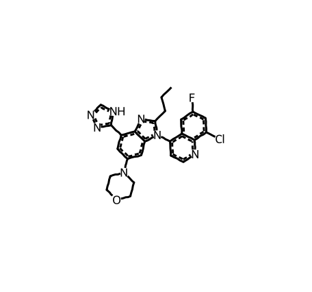 CCCc1nc2c(-c3nnc[nH]3)cc(N3CCOCC3)cc2n1-c1ccnc2c(Cl)cc(F)cc12